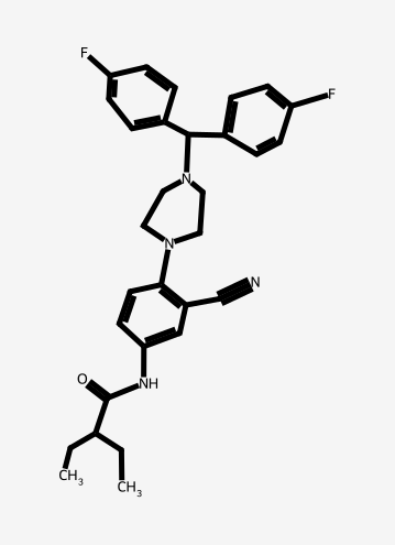 CCC(CC)C(=O)Nc1ccc(N2CCN(C(c3ccc(F)cc3)c3ccc(F)cc3)CC2)c(C#N)c1